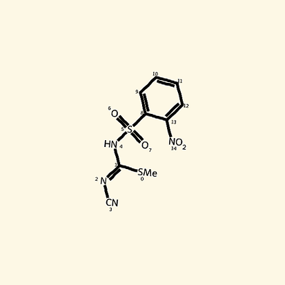 CS/C(=N\C#N)NS(=O)(=O)c1ccccc1[N+](=O)[O-]